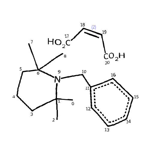 CC1(C)CCCC(C)(C)N1Cc1ccccc1.O=C(O)/C=C\C(=O)O